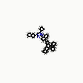 c1ccc(-c2cc(-c3ccc4ccccc4c3)nc(-c3ccc(-c4ccc5c(c4)-c4cc6ccccc6cc4C5(c4ccccc4)c4ccccc4)c4ccccc34)n2)cc1